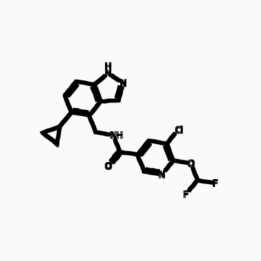 O=C(NCc1c(C2CC2)ccc2[nH]ncc12)c1cnc(OC(F)F)c(Cl)c1